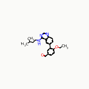 CCOc1ccc(C=O)cc1-c1ccc2ncnc(NCCC(C)C)c2c1